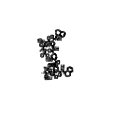 C[C@@H](C(=O)N[C@H](C(=O)N1C[C@@H](NC(=O)c2ccc(C(=O)NC3C[C@@H](C(=O)N[C@@H]4CCCc5ccccc54)N(C(=O)[C@@H](NC(=O)[C@H](C)N(C)C(=O)OC(C)(C)C)C(C)(C)C)C3)cc2)CC1C(=O)N[C@@H]1CCCc2ccccc21)C(C)(C)C)N(C)C(=O)OC(C)(C)C